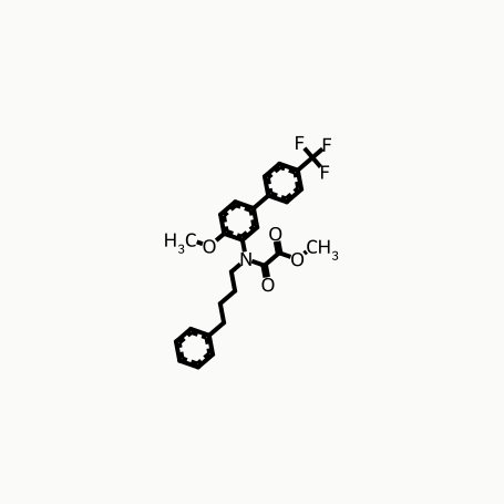 COC(=O)C(=O)N(CCCCc1ccccc1)c1cc(-c2ccc(C(F)(F)F)cc2)ccc1OC